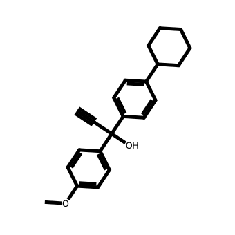 C#CC(O)(c1ccc(OC)cc1)c1ccc(C2CCCCC2)cc1